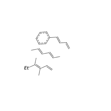 C/C=C/C=C/C.C=C/C(C)=C(\C)CC.C=C/C=C/c1ccccc1